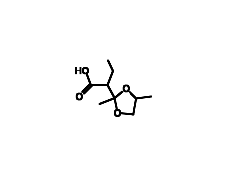 CCC(C(=O)O)C1(C)OCC(C)O1